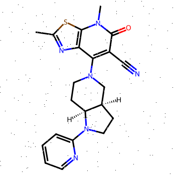 Cc1nc2c(N3CC[C@H]4[C@H](CCN4c4ccccn4)C3)c(C#N)c(=O)n(C)c2s1